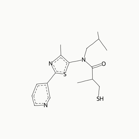 Cc1nc(-c2cccnc2)sc1N(CC(C)C)C(=O)C(C)CS